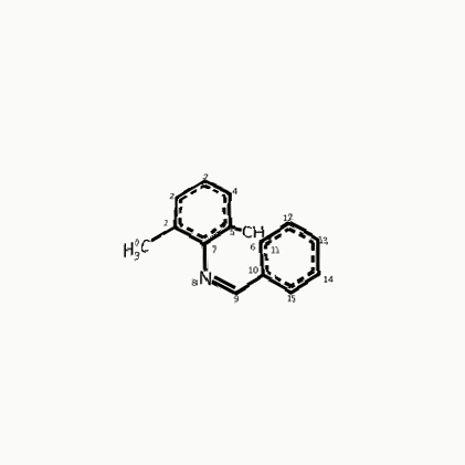 Cc1cccc(C)c1/N=C\c1ccccc1